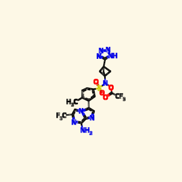 Cc1ccc(S(=O)(=O)N(OC(=O)C(F)(F)F)C23CC(c4nnn[nH]4)(C2)C3)cc1-c1cnc2c(N)nc(C(F)(F)F)cn12